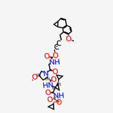 COc1ccc2c(c1CCCCCOC(=O)NCC(=O)N1C[C@@H](OC)C[C@H]1C(=O)N[C@]1(C(=O)NS(=O)(=O)C3CC3)C[C@@H]1C1CC1)C1CC1C=C2